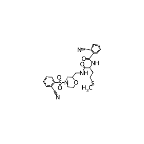 CSCC[C@H](NC(=O)c1ccccc1C#N)C(=O)NCC1CN(S(=O)(=O)c2ccccc2C#N)CCO1